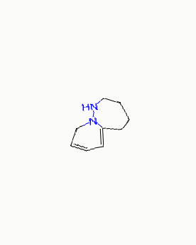 C1=CCN2NCCCCC2=C1